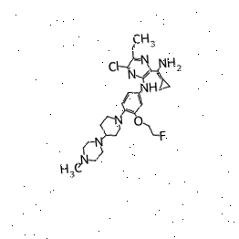 CCc1nc(C(N)=C2CC2)c(Nc2ccc(N3CCC(N4CCN(C)CC4)CC3)c(OCCF)c2)nc1Cl